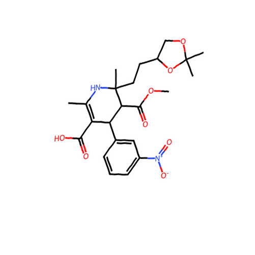 COC(=O)C1C(c2cccc([N+](=O)[O-])c2)C(C(=O)O)=C(C)NC1(C)CCC1COC(C)(C)O1